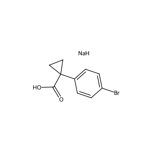 O=C(O)C1(c2ccc(Br)cc2)CC1.[NaH]